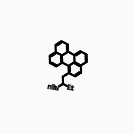 CCCCC(CC)Cc1ccc2cccc3c4cccc5cccc(c1c23)c54